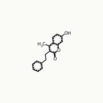 Cc1c(CCc2ccccc2)c(=O)oc2cc(O)ccc12